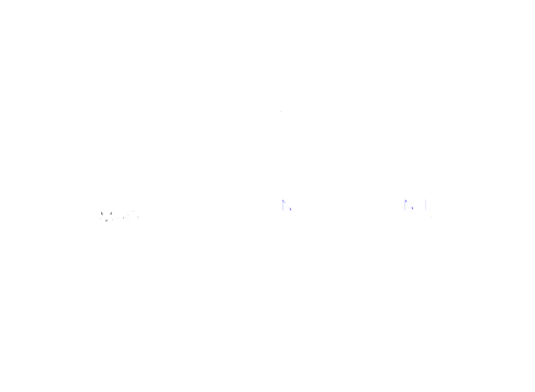 COc1ccc(Cl)c2c1CC(=O)N2CCN